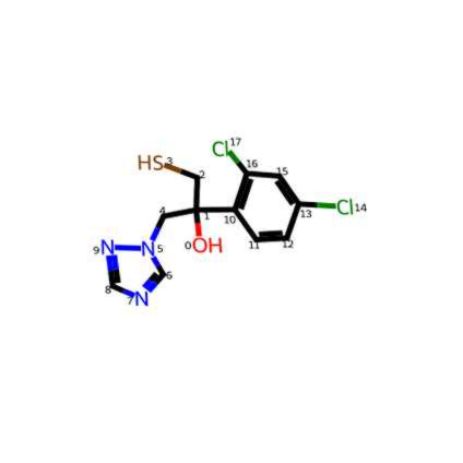 OC(CS)(Cn1cncn1)c1ccc(Cl)cc1Cl